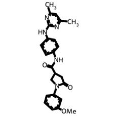 COc1cccc(N2CC(C(=O)Nc3ccc(Nc4nc(C)cc(C)n4)cc3)CC2=O)c1